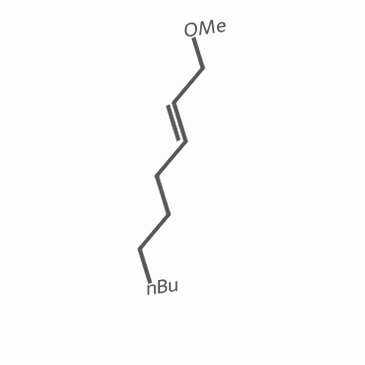 CCCCCCCC=CCOC